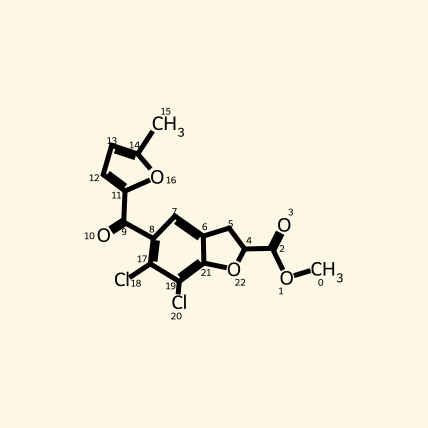 COC(=O)C1Cc2cc(C(=O)c3ccc(C)o3)c(Cl)c(Cl)c2O1